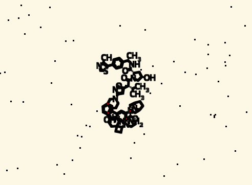 Cc1ncsc1-c1ccc([C@H](C)NC(=O)[C@@H]2C[C@@H](O)CN2C(=O)[C@@H](c2cc(N3CCC(CN4CCC5(CCC5N5CCO[C@H](CN6C7CCC6CN(c6cc(-c8ccccc8O)nnc6N)C7)C5)CC4)CC3)no2)C(C)C)cc1